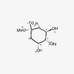 CO[C@]1(C(=O)O)C[C@@H](O)[C@H](O)[C@H](O)C1